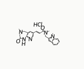 CN1CC(=O)Nc2ncc(C=CC(=O)N(C)Cc3cc4ccccc4n3C)cc2C1.Cl